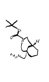 CC(C)(C)OC(=O)N1C[C@@H]2CCC[C@]2(CN)C1